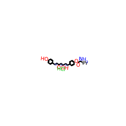 CC(C)C(N)C(=O)Oc1ccc(/C=C/C(O)=C/C(=O)/C=C/c2ccc(O)cc2)cc1.Cl